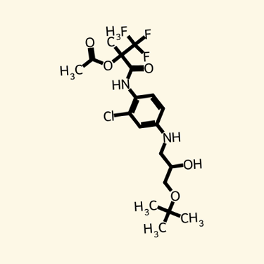 CC(=O)OC(C)(C(=O)Nc1ccc(NCC(O)COC(C)(C)C)cc1Cl)C(F)(F)F